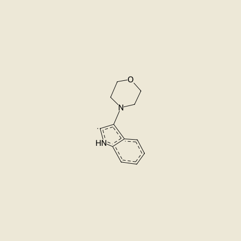 [c]1[nH]c2ccccc2c1N1CCOCC1